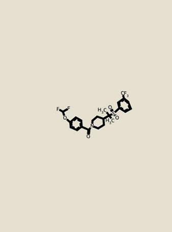 CC(C)(C1CCN(C(=O)c2ccc(OC(F)F)cc2)CC1)S(=O)(=O)c1cccc(C(F)(F)F)c1